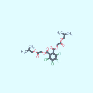 C=C(C)COC(=O)COC(=O)c1c(Cl)c(Cl)c(Cl)c(Cl)c1C(=O)OCC(=O)OCC(=C)C